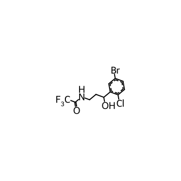 O=C(NCCC(O)c1cc(Br)ccc1Cl)C(F)(F)F